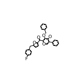 O=C(c1ccc(Cc2ccc(F)cc2)o1)c1occ(-c2ccccc2)c(=O)c1OCc1ccccc1